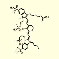 COCCN1/C(=C/C=C2\CCCC(/C=C/C3=[N+](CCCCCC(=O)O)c4ccc(S(=O)(=O)O)cc4C3(C)CCCS(=O)(=O)O)=C2Cl)C(C)(CCCS(=O)(=O)O)c2cc(S(=O)(=O)O)ccc21